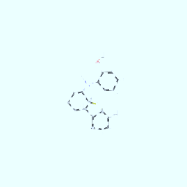 CCc1cccc2c1sc1c(N(C)c3ccccc3OC(F)(F)F)cccc12